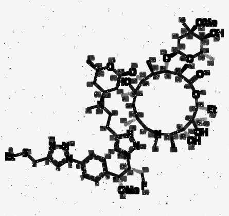 CCSCc1cn(-c2ccc([C@@H](OC)[C@@H](CF)n3cc(CCN(C)[C@@H]4C[C@H](O[C@@H]5[C@@H](C)[C@H](O[C@H]6C[C@@](C)(OC)[C@@H](O)[C@H](C)O6)[C@@H](C)C(=O)O[C@H](CC)[C@@](C)(O)[C@H](O)[C@@H](C)N(C)C[C@H](C)C[C@@]5(C)O)O[C@H](C)C4)nn3)cc2)nn1